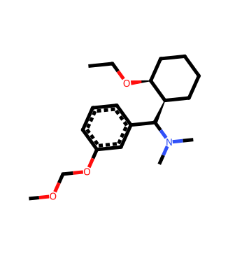 CCO[C@H]1CCCC[C@H]1C(c1cccc(OCOC)c1)N(C)C